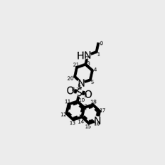 CCNC1CCN(S(=O)(=O)c2cccc3cnccc23)CC1